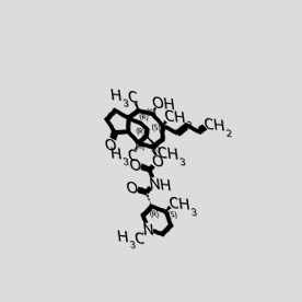 C=CC=C[C@]1(C)C[C@@H](OC(=O)NC(=O)[C@H]2CN(C)CC[C@@H]2C)[C@@]2(C)C3C(=O)CCC3(CC[C@H]2C)[C@@H](C)[C@@H]1O